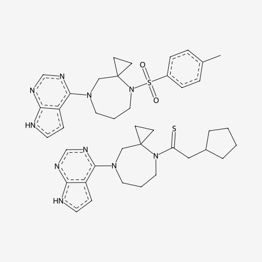 Cc1ccc(S(=O)(=O)N2CCCN(c3ncnc4[nH]ccc34)CC23CC3)cc1.S=C(CC1CCCC1)N1CCCN(c2ncnc3[nH]ccc23)CC12CC2